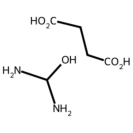 NC(N)O.O=C(O)CCC(=O)O